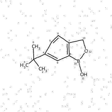 CC(C)(C)c1ccc2c(c1)B(O)OC2